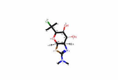 CN(C)C1=N[C@@H]2[C@@H](O)[C@H](O)C(C(C)(C)Cl)O[C@@H]2S1